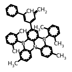 C=C/C=C(\C=C(/C)c1ccccc1)c1cc2c3c(c1)B(c1c(C)cccc1C)c1cc(C)ccc1N3c1ccc(C)cc1B2c1c(C)cccc1C